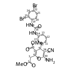 COC(=O)CC1=C(C(=O)OC)C(c2cccc(NC(=O)Nc3ccc(Br)cc3Br)c2)C(C#N)=C(N)O1